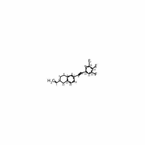 C=CC1CCc2cc(C#Cc3cc(F)c(F)c(F)c3)ccc2C1